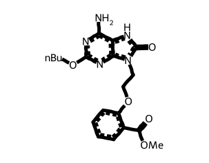 CCCCOc1nc(N)c2[nH]c(=O)n(CCOc3ccccc3C(=O)OC)c2n1